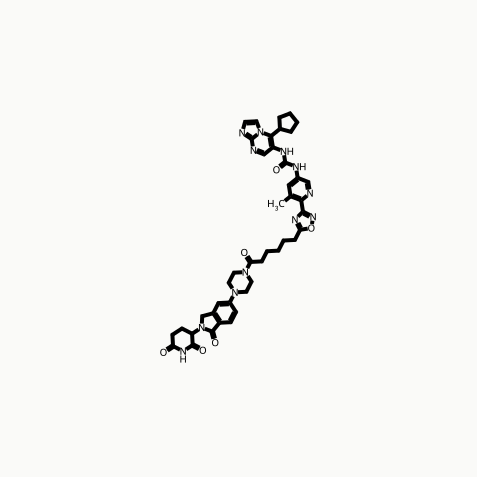 Cc1cc(NC(=O)Nc2cnc3nccn3c2C2CCCC2)cnc1-c1noc(CCCCCC(=O)N2CCN(c3ccc4c(c3)CN(C3CCC(=O)NC3=O)C4=O)CC2)n1